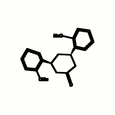 COc1ccccc1[C@@H]1CC(=O)C[C@@H](c2ccccc2OC)C1